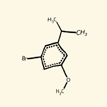 COc1[c]c(Br)cc(C(C)C)c1